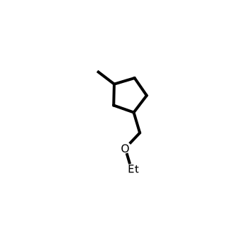 CCOCC1CCC(C)C1